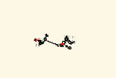 Cc1cc(F)c(Nc2nc(-c3ccc4c(c3)N([C@H]3C[C@@H](N5CCCCC5)C3)C(=O)C43CCN(C(=O)CCCCCCCCCOc4cc(-c5scnc5C)ccc4CNC(=O)[C@@H]4C[C@@H](O)CN4C(=O)[C@@H](NC(=O)C4(F)CC4)C(C)(C)C)CC3)cc3ncn(C(C)C)c23)cc1C(=O)NC(C)C